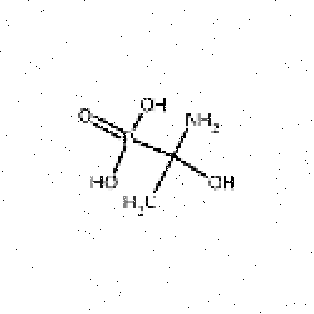 CC(N)(O)P(=O)(O)O